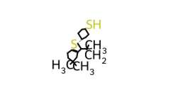 C=C(C)C1C2=C(CCC(C)(C)C2)S[C@@H]1C1CCC(S)CC1